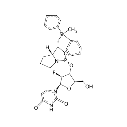 C[Si](C[C@@H]1O[P@@](OC2[C@@H](CO)O[C@@H](n3ccc(=O)[nH]c3=O)[C@H]2F)N2CCC[C@H]12)(c1ccccc1)c1ccccc1